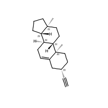 C#C[C@H]1CC[C@@]2(C)C(=CC[C@H]3[C@@H]4CCC[C@@]4(C)CC[C@@H]32)C1